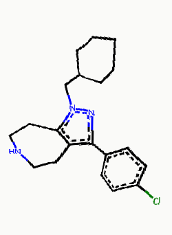 Clc1ccc(-c2nn(CC3CCCCC3)c3c2CCNCC3)cc1